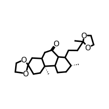 C[C@@H]1CCC2C(C(=O)CC3CC4(CC[C@@]32C)OCCO4)C1CCC1(C)OCCO1